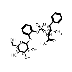 CC(=O)N[C@@H](C)[C@H](OS(=O)(=O)Oc1ccccc1OC1O[C@H](CO)[C@H](O)[C@H](O)[C@H]1O)c1ccccc1